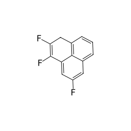 FC1=C(F)c2cc(F)cc3cccc(c23)C1